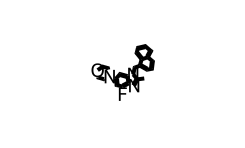 Cc1nc2c(F)cc(N3CCOCC3)cc2n1Cc1cccc2ccccc12